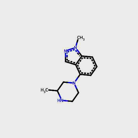 CC1CN(c2cccc3c2cnn3C)CCN1